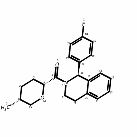 C[C@@H]1CC[C@H](C(=O)N2CCc3ccccc3[C@@H]2c2ccc(F)cc2)OC1